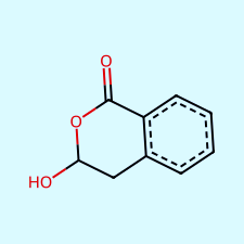 O=C1OC(O)Cc2ccccc21